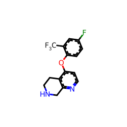 Fc1ccc(Oc2ccnc3c2CCNC3)c(C(F)(F)F)c1